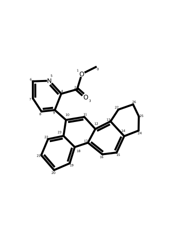 COC(=O)c1ncccc1-c1cc2c3c(ccc2c2ccccc12)CCCC3